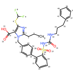 CCCc1nc(SC(F)F)c(C(=O)O)n1Cc1ccc(-c2ccccc2S(=O)(=O)NC(=O)NCCCc2ccccc2)cc1